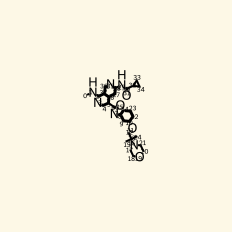 CNc1ncc(-c2nc3cc(OCC(C)(C)N4CCOCC4)ccc3o2)c2cc(NC(=O)C3CC3)ncc12